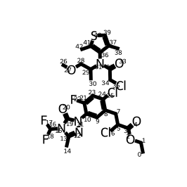 CCOC(=O)C(Cl)Cc1cc(-n2nc(C)n(C(F)F)c2=O)c(F)cc1Cl.COCC(C)N(C(=O)CCl)c1c(C)csc1C